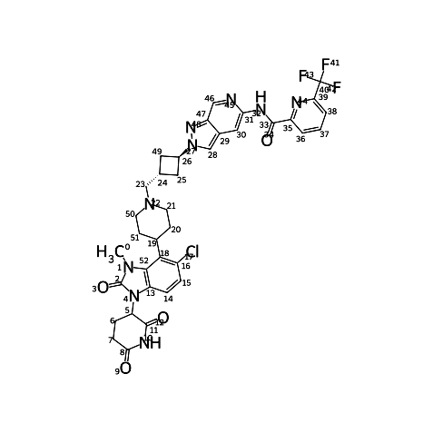 Cn1c(=O)n(C2CCC(=O)NC2=O)c2ccc(Cl)c(C3CCN(C[C@H]4C[C@H](n5cc6cc(NC(=O)c7cccc(C(F)(F)F)n7)ncc6n5)C4)CC3)c21